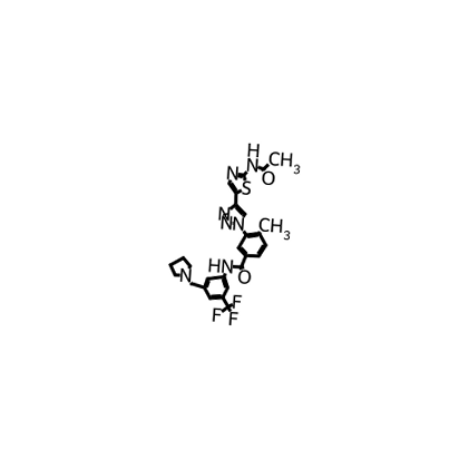 CC(=O)Nc1ncc(-c2cn(-c3cc(C(=O)Nc4cc(CN5CCCC5)cc(C(F)(F)F)c4)ccc3C)nn2)s1